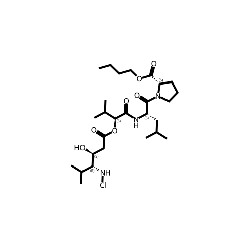 CCCCOC(=O)[C@@H]1CCCN1C(=O)[C@H](CC(C)C)NC(=O)[C@@H](OC(=O)C[C@H](O)[C@H](NCl)C(C)C)C(C)C